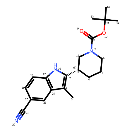 Cc1c([C@H]2CCCN(C(=O)OC(C)(C)C)C2)[nH]c2ccc(C#N)cc12